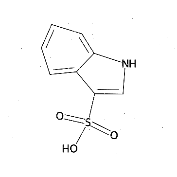 O=S(=O)(O)c1c[nH]c2ccccc12